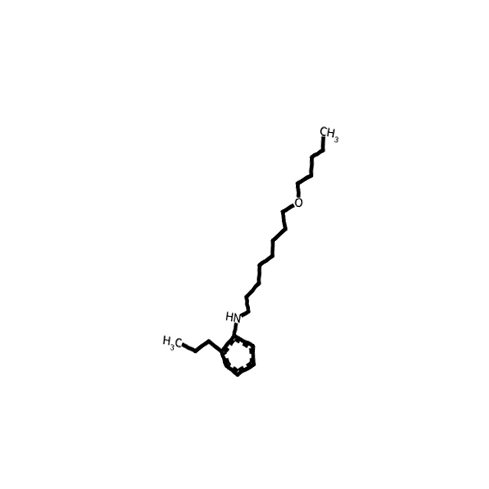 CCCCCOCCCCCCCCNc1ccccc1CCC